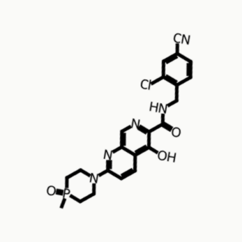 CP1(=O)CCN(c2ccc3c(O)c(C(=O)NCc4ccc(C#N)cc4Cl)ncc3n2)CC1